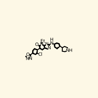 CCn1c(=O)c(-c2ccc(-c3nnco3)cc2Cl)cc2cnc(Nc3ccc(C4CCNCC4)cc3)nc21